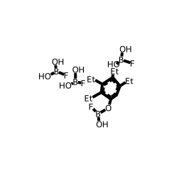 CCc1cc(OB(O)F)c(CC)c(CC)c1CC.OB(O)F.OB(O)F.OB(O)F